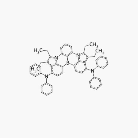 CCc1c(CC)n2c3c(ccc(N(c4ccccc4)c4ccccc4)c13)B1c3c-2cccc3-n2c(CC)c(CC)c3c(N(c4ccccc4)c4ccccc4)ccc1c32